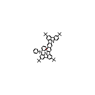 CC(C)(C)c1ccc2c(c1)c1cc(C(C)(C)C)cc3c4cc5cc6c(cc5cc4n2c13)c1cc(C(C)(C)C)cc2c3cc(C(C)(C)C)cc(N(c4ccccc4)c4ccccc4)c3n6c12